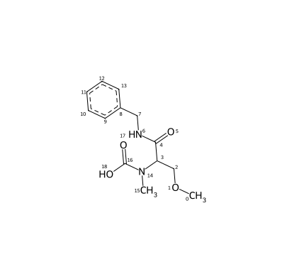 COCC(C(=O)NCc1ccccc1)N(C)C(=O)O